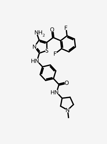 CN1CCC(NC(=O)c2ccc(Nc3nc(N)c(C(=O)c4c(F)cccc4F)s3)cc2)C1